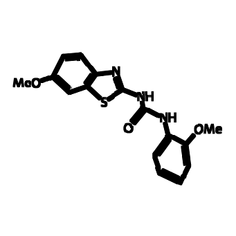 COc1ccc2nc(NC(=O)Nc3ccccc3OC)sc2c1